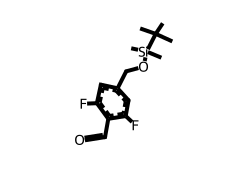 CC(C)(C)[Si](C)(C)OCc1cc(F)c(C=O)c(F)c1